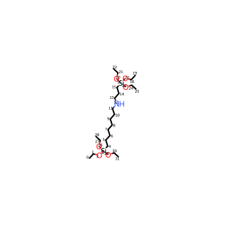 CCO[Si](CCCCCCCCNCCC[Si](OCC)(OCC)OCC)(OCC)OCC